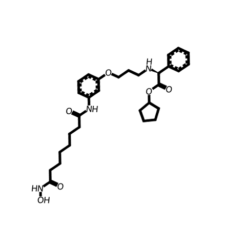 O=C(CCCCCCC(=O)Nc1cccc(OCCCN[C@H](C(=O)OC2CCCC2)c2ccccc2)c1)NO